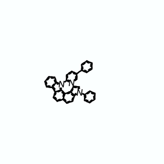 c1ccc(-c2ccc(-n3c4ccccc4c4ccc5ccc6c(ccn6-c6ccccc6)c5c43)nc2)cc1